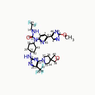 COc1ncc(-c2ccc(N(C(=O)NCC(F)F)[C@H]3CC[C@H](Nc4ncc(C(F)(F)F)c(N5CCC6(CC5)COC6)n4)CC3)nc2)cn1